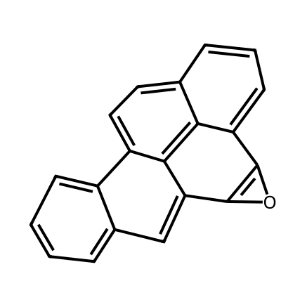 c1ccc2c(c1)cc1c3oc3c3cccc4ccc2c1c43